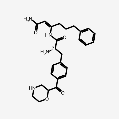 NC(=O)C=C(CCCc1ccccc1)NC(=O)[C@@H](N)Cc1ccc(C(=O)C2CNCCO2)cc1